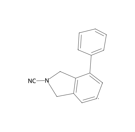 N#CN1Cc2c[c]cc(-c3ccccc3)c2C1